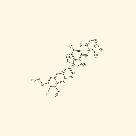 CCOC(=O)C(C)N(C=O)c1ccc2cc(C(CC)(CC)c3ccc(OC(CC)C(O)C(C)(C)C)c(C)c3)ccc2c1